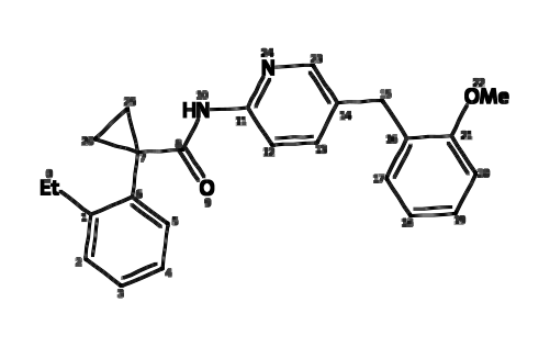 CCc1ccccc1C1(C(=O)Nc2ccc(Cc3ccccc3OC)cn2)CC1